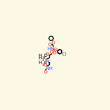 COC(COP(=O)(NCC(=O)OC1CCCCC1)Oc1ccc(Cl)cc1)CC(C)N(C)/C=C\C(=O)NC=O